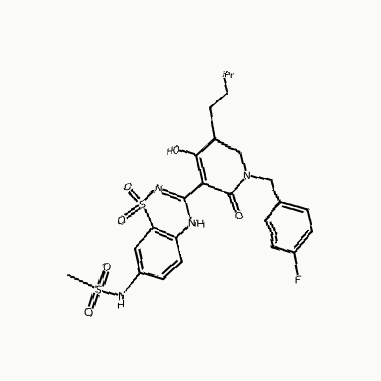 CC(C)CCC1CN(Cc2ccc(F)cc2)C(=O)C(C2=NS(=O)(=O)c3cc(NS(C)(=O)=O)ccc3N2)=C1O